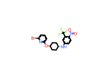 O=[N+]([O-])c1ccc(N[C@H]2CC[C@H](Oc3cccc(Br)n3)CC2)cc1C(F)(F)F